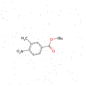 Cc1cc(C(=O)OC(C)(C)C)ccc1[N+](=O)[O-]